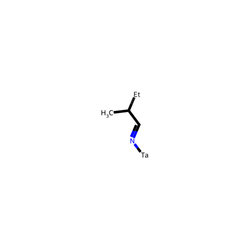 CCC(C)C=[N][Ta]